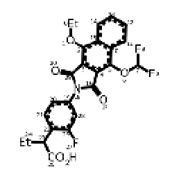 CCOc1c2c(c(OC(F)F)c3ccccc13)C(=O)N(c1ccc(C(CC)C(=O)O)c(F)c1)C2=O